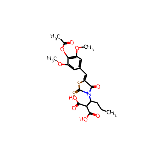 CCCC(C(C(=O)O)C(=O)O)N1C(=O)C(=Cc2cc(OC)c(OC(C)=O)c(OC)c2)SC1=S